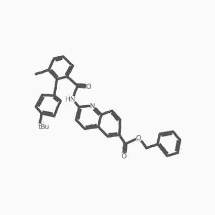 Cc1cccc(C(=O)Nc2ccc3cc(C(=O)OCc4ccccc4)ccc3n2)c1-c1ccc(C(C)(C)C)cc1